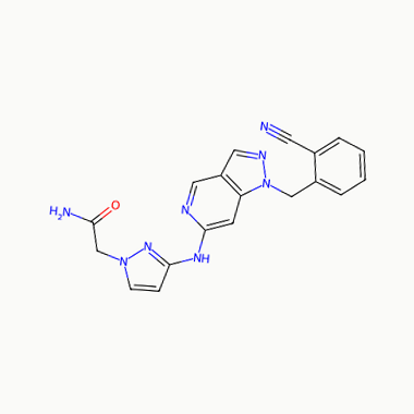 N#Cc1ccccc1Cn1ncc2cnc(Nc3ccn(CC(N)=O)n3)cc21